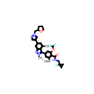 COc1cc(-c2c3c(C#N)cc(-c4cnn(CC5CCCO5)c4)cc3nn2C)cc(OC(F)F)c1C(=O)NCC1(F)CC1